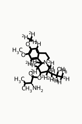 [2H]c1c2c(c([2H])c(OC)c1OC([2H])([2H])[2H])C1([2H])N(CC2)C([2H])([2H])C([2H])(C([2H])([2H])C([2H])(C)C([2H])([2H])[2H])C(OC(=O)[C@@H](N)C(C)C)C1([2H])[2H]